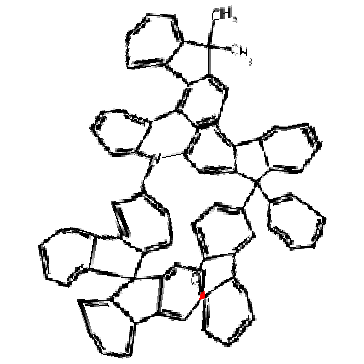 CC1(C)c2ccccc2-c2c(-c3ccccc3N(c3ccc4c(c3)-c3ccccc3C43c4ccccc4-c4ccccc43)c3ccc4c(c3)C(c3ccccc3)(c3ccc5oc6ccccc6c5c3)c3ccccc3-4)cccc21